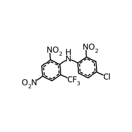 O=[N+]([O-])c1cc([N+](=O)[O-])c(Nc2ccc(Cl)cc2[N+](=O)[O-])c(C(F)(F)F)c1